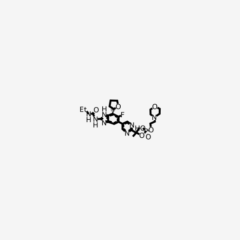 CCNC(=O)Nc1nc2cc(-c3cnc(C(C)(C)OP(=O)(O)OCCN4CCOCC4)nc3)c(F)c([C@H]3CCCO3)c2[nH]1